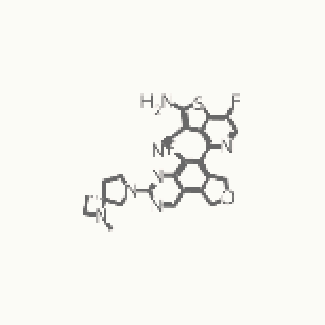 CN1CC[C@@]12CCN(c1ncc3c4c(c(-c5ncc(F)c6sc(N)c(C#N)c56)c(F)c3n1)COC4)C2